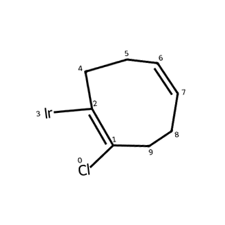 Cl/C1=[C](\[Ir])CC/C=C\CC1